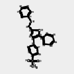 CS(=O)(=O)c1ccc(-c2nc(CSc3ccccc3)oc2-c2ccccc2)cc1